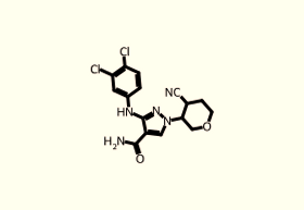 N#CC1CCOCC1n1cc(C(N)=O)c(Nc2ccc(Cl)c(Cl)c2)n1